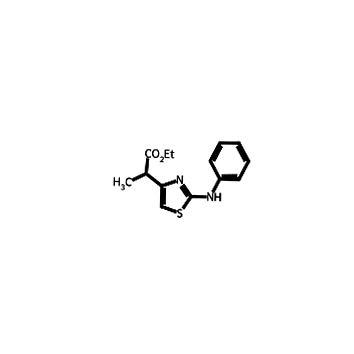 CCOC(=O)C(C)c1csc(Nc2ccccc2)n1